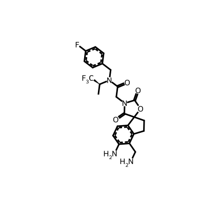 C[C@H](N(Cc1ccc(F)cc1)C(=O)CN1C(=O)OC2(CCc3c2ccc(N)c3CN)C1=O)C(F)(F)F